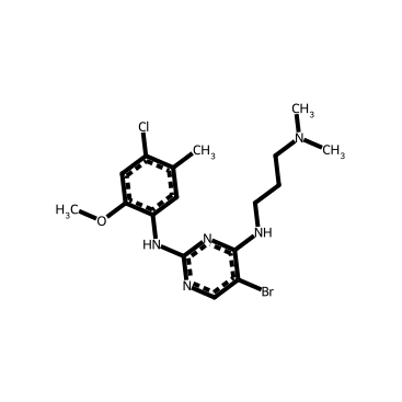 COc1cc(Cl)c(C)cc1Nc1ncc(Br)c(NCCCN(C)C)n1